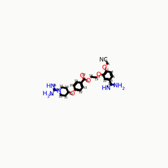 N#CCOc1ccc(C(=N)N)cc1OCCOC(=O)c1ccc(OC2CCN(C(=N)N)CC2)cc1